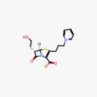 O=C([O-])C1=C(CCC[n+]2ccccc2)S[C@@H]2[C@@H](CCO)C(=O)N12